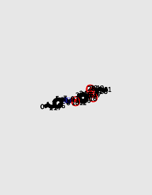 CCCC1CCC(/C=C/COc2ccc(C3OCC(CCC)CO3)cc2)CC1